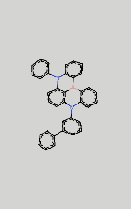 c1ccc(-c2cccc(N3c4ccccc4B4c5ccccc5N(c5ccccc5)c5cccc3c54)c2)cc1